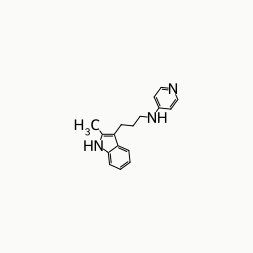 Cc1[nH]c2ccccc2c1CCCNc1ccncc1